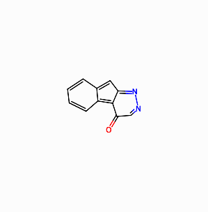 O=C1C=NN=C2C=c3ccccc3=C12